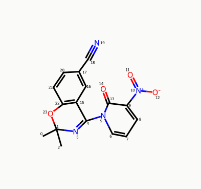 CC1(C)N=C(n2cccc([N+](=O)[O-])c2=O)c2cc(C#N)ccc2O1